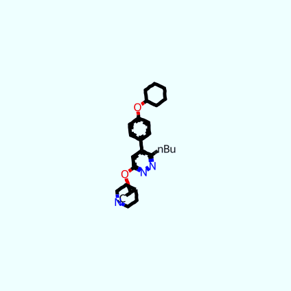 CCCCc1nnc(OC2CN3CCC2CC3)cc1-c1ccc(OC2CCCCC2)cc1